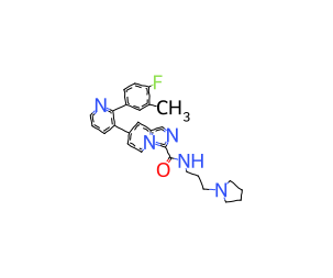 Cc1cc(-c2ncccc2-c2ccn3c(C(=O)NCCCN4CCCC4)ncc3c2)ccc1F